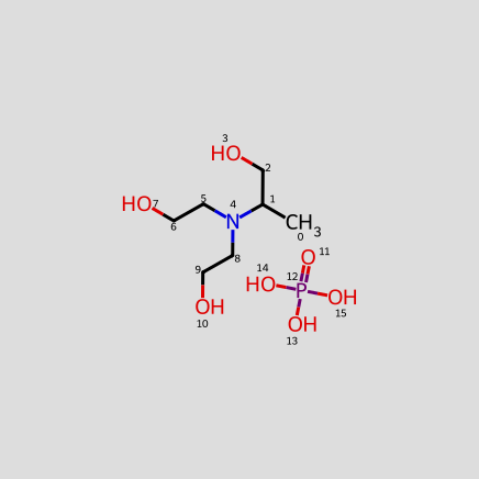 CC(CO)N(CCO)CCO.O=P(O)(O)O